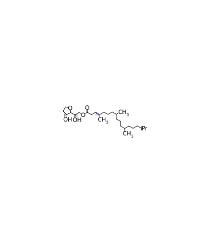 C/C(=C\CC(=O)OC[C@@H](O)C1OCC[C@H]1O)CCCC(C)CCCC(C)CCCC(C)C